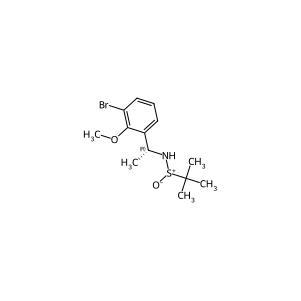 COc1c(Br)cccc1[C@@H](C)N[S+]([O-])C(C)(C)C